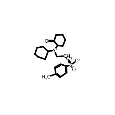 CC[S+](C1CCCCC1)C1CCCCC1=O.Cc1ccc(S(=O)(=O)[O-])cc1